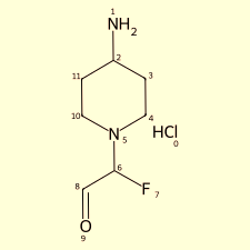 Cl.NC1CCN(C(F)C=O)CC1